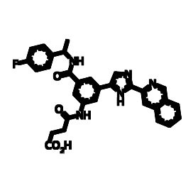 CC(NC(=O)c1cc(NC(=O)CCC(=O)O)cc(-c2cnc(-c3cc4ccccc4cn3)[nH]2)c1)c1ccc(F)cc1